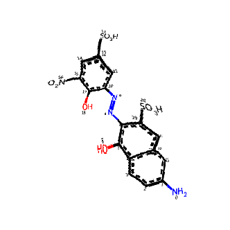 Nc1ccc2c(O)c(/N=N/c3cc(S(=O)(=O)O)cc([N+](=O)[O-])c3O)c(S(=O)(=O)O)cc2c1